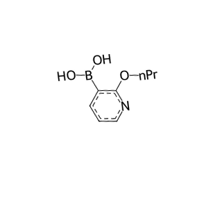 CCCOc1ncccc1B(O)O